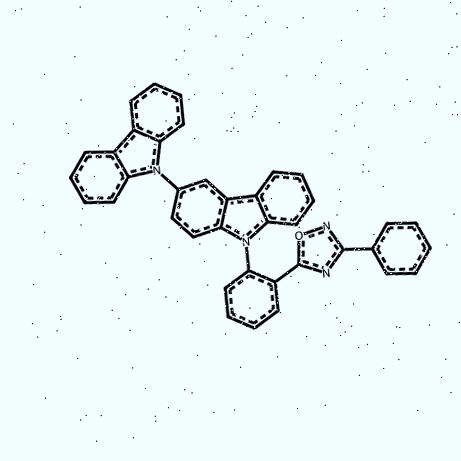 c1ccc(-c2noc(-c3ccccc3-n3c4ccccc4c4cc(-n5c6ccccc6c6ccccc65)ccc43)n2)cc1